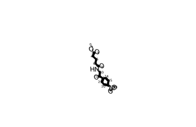 COC(=O)CCCC(=O)NCC(=O)c1ccc([N+](=O)[O-])cc1